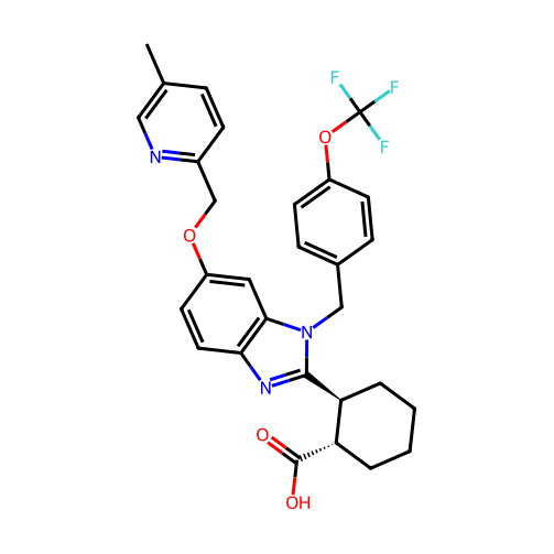 Cc1ccc(COc2ccc3nc([C@H]4CCCC[C@@H]4C(=O)O)n(Cc4ccc(OC(F)(F)F)cc4)c3c2)nc1